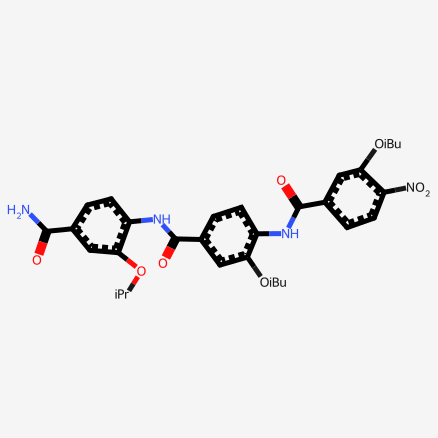 CC(C)COc1cc(C(=O)Nc2ccc(C(N)=O)cc2OC(C)C)ccc1NC(=O)c1ccc([N+](=O)[O-])c(OCC(C)C)c1